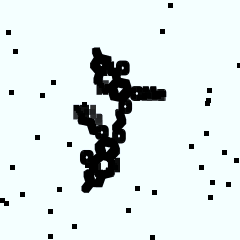 COc1cc2c(cc1OCCCOc1cc3c(cc1OCCCN)C(=O)N1C=C(C)CC1C=N3)N=CC1CC(C)=CN1C2=O